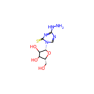 NNc1ncn([C@@H]2O[C@H](CO)C(O)C2O)c(=S)n1